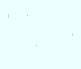 O=C(O)/C=C/c1cccn1-c1ccc(Cl)cc1